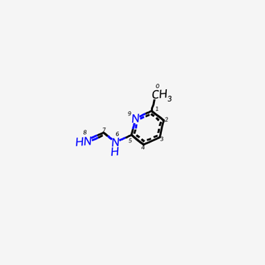 Cc1cccc(NC=N)n1